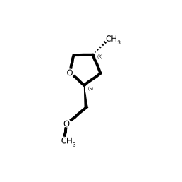 COC[C@@H]1C[C@@H](C)CO1